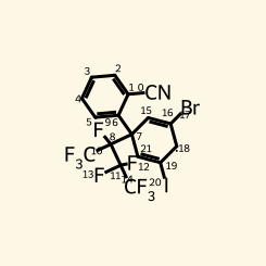 N#Cc1ccccc1C1(C(F)(C(F)(F)F)C(F)(F)C(F)(F)F)C=C(Br)[CH]C(I)=C1